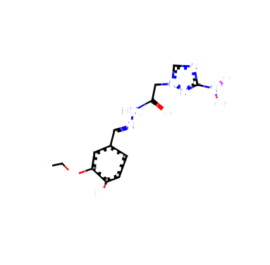 CCOc1cc(/C=N/NC(=O)Cn2cnc([N+](=O)O)n2)ccc1O